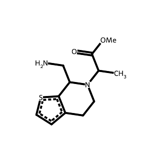 COC(=O)C(C)N1CCc2ccsc2C1CN